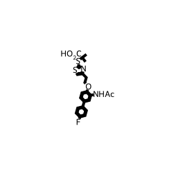 CC(=O)Nc1cc(-c2ccc(F)cc2)ccc1OCCc1csc(SC(C)(C)C(=O)O)n1